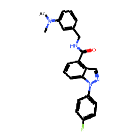 CC(=O)N(C)c1cccc(CNC(=O)c2cccc3c2cnn3-c2ccc(F)cc2)c1